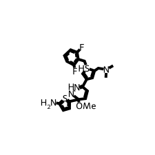 COC1(c2ccc(N)s2)C=CC(C2=C[SH](Cc3c(F)cccc3F)C(CN(C)C)=C2)=NN1